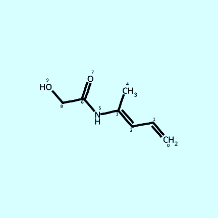 C=C/C=C(\C)NC(=O)CO